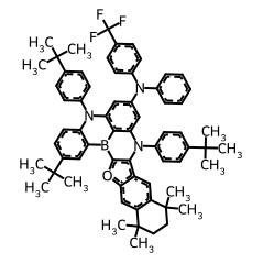 CC(C)(C)c1ccc(N2c3ccc(C(C)(C)C)cc3B3c4oc5cc6c(cc5c4N(c4ccc(C(C)(C)C)cc4)c4cc(N(c5ccccc5)c5ccc(C(F)(F)F)cc5)cc2c43)C(C)(C)CCC6(C)C)cc1